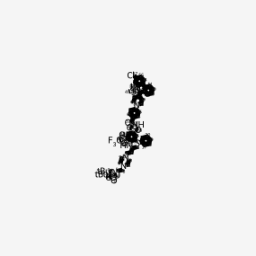 CC(C)(C)OP(=O)(OCCN1CCN(CCC(CSc2ccccc2)Nc2ccc(S(=O)(=O)NC(=O)c3ccc(N4CCC([C@@H](O[Si](C)(C)C(C)(C)C)c5ccccc5-c5ccc(Cl)cc5)CC4)cc3)cc2S(=O)(=O)C(F)(F)F)CC1)OC(C)(C)C